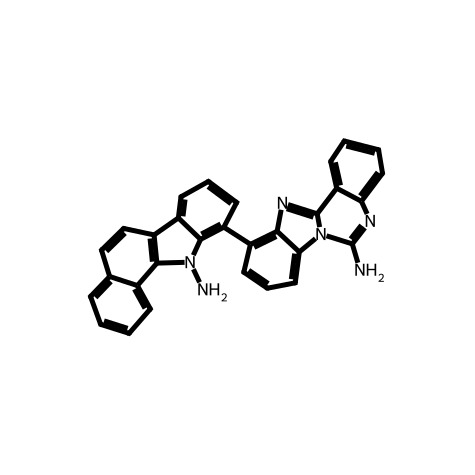 Nc1nc2ccccc2c2nc3c(-c4cccc5c6ccc7ccccc7c6n(N)c45)cccc3n12